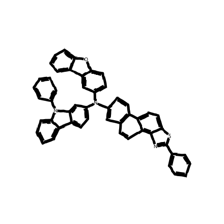 c1ccc(-c2nc3c(ccc4c5ccc(N(c6ccc7oc8ccccc8c7c6)c6ccc7c8ccccc8n(-c8ccccc8)c7c6)cc5ccc43)s2)cc1